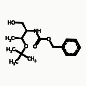 C[C@H](OC(C)(C)C)[C@@H](CO)NC(=O)OCc1ccccc1